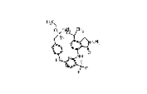 CCOP(C)(=O)Cc1ccc(Nc2ncc(C(F)(F)F)c(Nc3ccc(C(C)C)c4c3C(=O)N(C)C4)n2)cc1